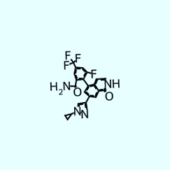 NC(=O)c1cc(C(F)(F)F)cc(F)c1-c1cc(-c2cnn(C3CC3)c2)cc2c(=O)[nH]ccc12